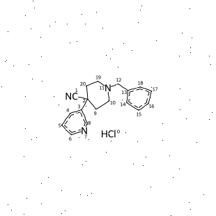 Cl.N#CC1(c2cccnc2)CCN(Cc2ccccc2)CC1